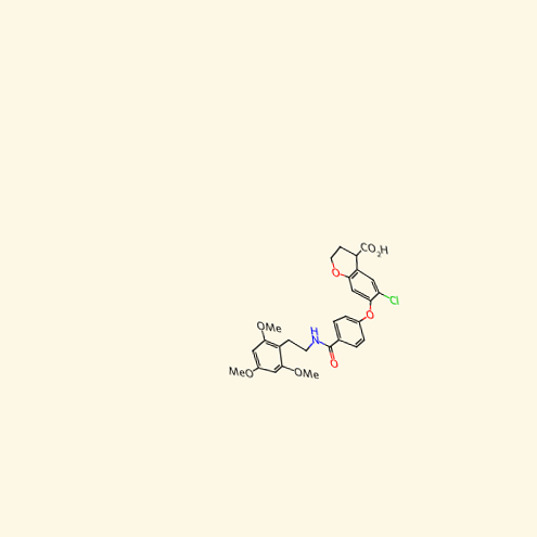 COc1cc(OC)c(CCNC(=O)c2ccc(Oc3cc4c(cc3Cl)C(C(=O)O)CCO4)cc2)c(OC)c1